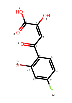 O=C(O)/C(O)=C\C(=O)c1ccc(F)cc1Br